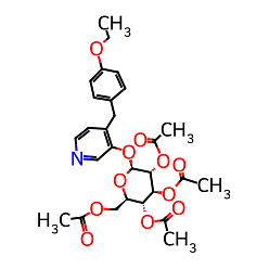 CCOc1ccc(Cc2ccncc2O[C@@H]2O[C@H](COC(C)=O)[C@@H](OC(C)=O)[C@H](OC(C)=O)[C@H]2OC(C)=O)cc1